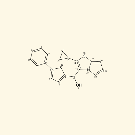 OC(c1ncc(-c2ccccc2)s1)c1c(C2CC2)sc2cncn12